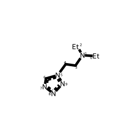 CCN(CC)CCn1cnnn1